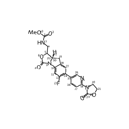 COC(=O)NCC1OC(=O)N2c3cc(F)c(-c4ccc(N5CCOC5=O)nc4)cc3C[C@@H]12